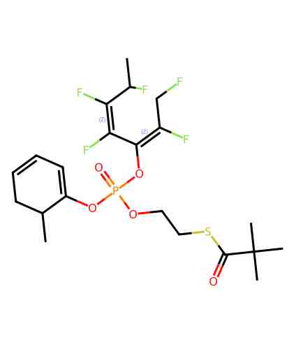 CC1CC=CC=C1OP(=O)(OCCSC(=O)C(C)(C)C)OC(=C(\F)CF)/C(F)=C(/F)C(C)F